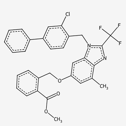 COC(=O)c1ccccc1COc1cc(C)c2nc(C(F)(F)F)n(Cc3ccc(-c4ccccc4)cc3Cl)c2c1